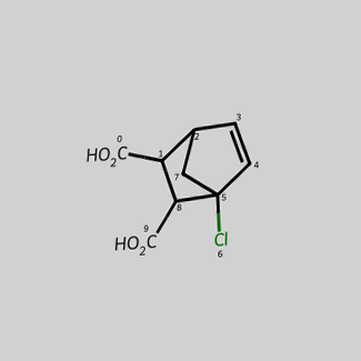 O=C(O)C1C2C=CC(Cl)(C2)C1C(=O)O